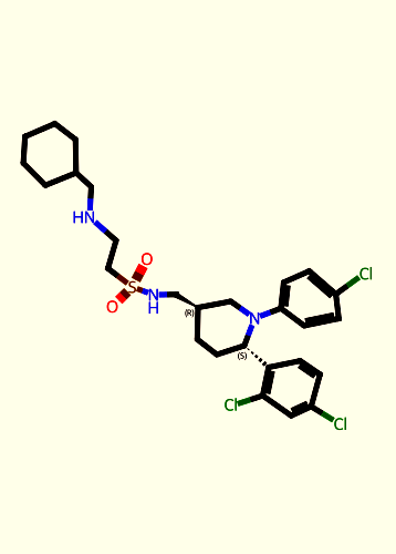 O=S(=O)(CCNCC1CCCCC1)NC[C@@H]1CC[C@@H](c2ccc(Cl)cc2Cl)N(c2ccc(Cl)cc2)C1